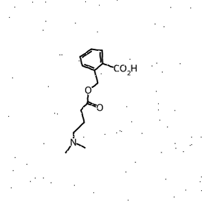 CN(C)CCCC(=O)OCc1ccccc1C(=O)O